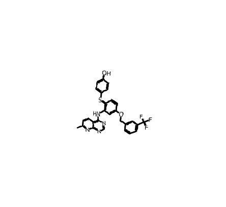 Cc1ccc2c(Nc3cc(OCc4cccc(C(F)(F)F)c4)ccc3Sc3ccc(O)cc3)ncnc2n1